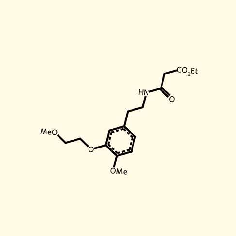 CCOC(=O)CC(=O)NCCc1ccc(OC)c(OCCOC)c1